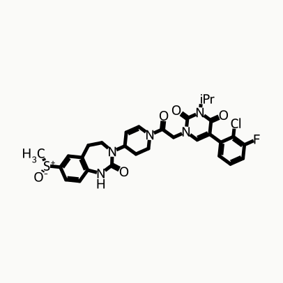 CC(C)n1c(=O)c(-c2cccc(F)c2Cl)cn(CC(=O)N2C=CC(N3CCc4cc([S+](C)[O-])ccc4NC3=O)CC2)c1=O